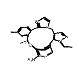 CCn1ncc2c1-c1cnc(N)c(c1)O[C@@H](C)c1cc(C)ccc1-c1nccn1C2